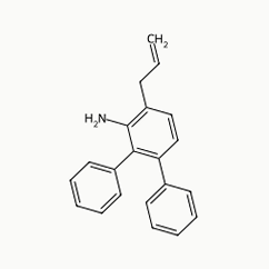 C=CCc1ccc(-c2ccccc2)c(-c2ccccc2)c1N